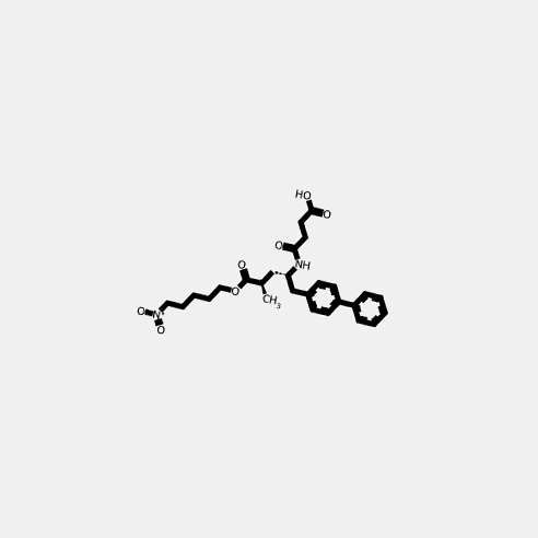 C[C@H](C[C@@H](Cc1ccc(-c2ccccc2)cc1)NC(=O)CCC(=O)O)C(=O)OCCCCC[N+](=O)[O-]